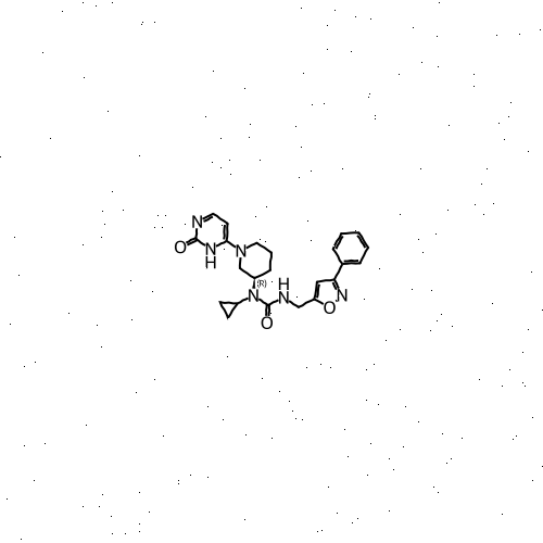 O=C(NCc1cc(-c2ccccc2)no1)N(C1CC1)[C@@H]1CCCN(c2ccnc(=O)[nH]2)C1